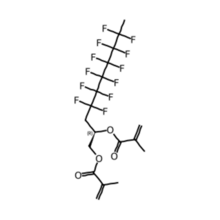 C=C(C)C(=O)OC[C@@H](CC(F)(F)C(F)(F)C(F)(F)C(F)(F)C(F)(F)C(C)(F)F)OC(=O)C(=C)C